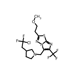 COCCc1nn2c(CN3CCC(CC(F)(F)Cl)C3)c(C(F)(F)F)nc2s1